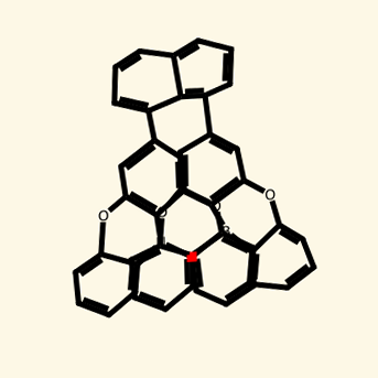 c1ccc2c(c1)Oc1cc(-c3cccc4cccc(-c5cc6c7c(c5)Oc5ccccc5N7c5ccccc5O6)c34)cc3c1B2c1ccccc1O3